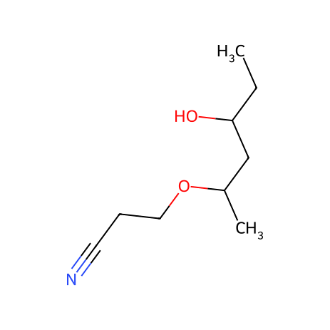 CCC(O)CC(C)OCCC#N